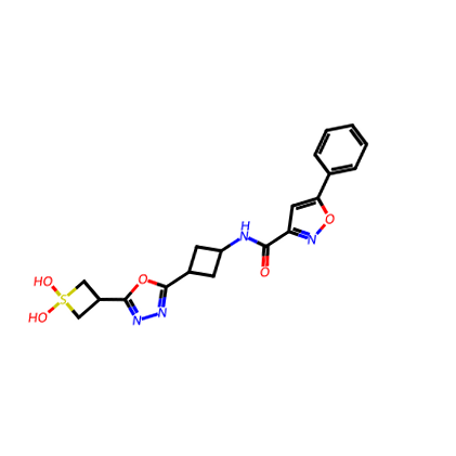 O=C(NC1CC(c2nnc(C3CS(O)(O)C3)o2)C1)c1cc(-c2ccccc2)on1